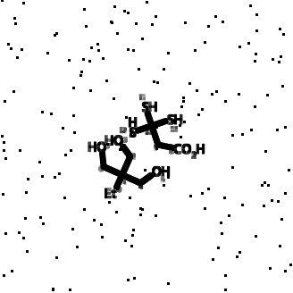 CCC(CO)(CO)CO.O=C(O)CC(S)(S)S